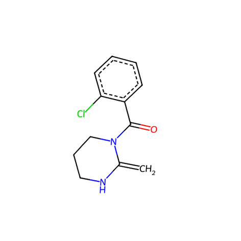 C=C1NCCCN1C(=O)c1ccccc1Cl